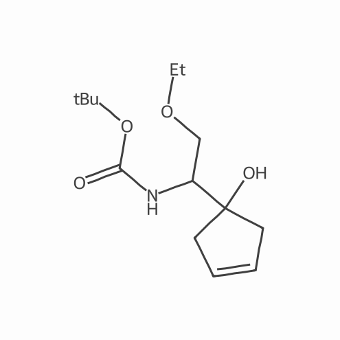 CCOCC(NC(=O)OC(C)(C)C)C1(O)CC=CC1